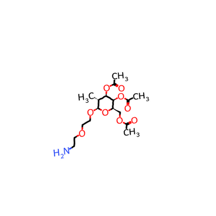 CC(=O)OC[C@H]1O[C@@H](OCCOCCN)[C@H](C)[C@@H](OC(C)=O)[C@H]1OC(C)=O